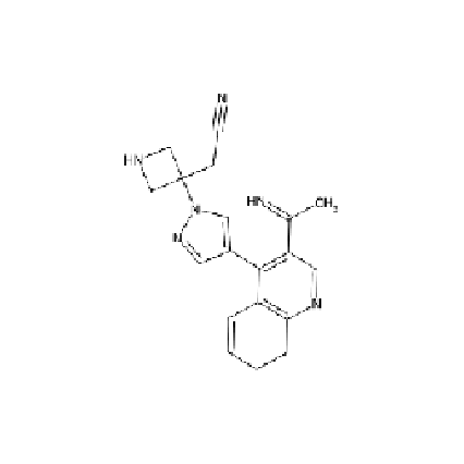 CC(=N)c1cnc2c(c1-c1cnn(C3(CC#N)CNC3)c1)C=CCC2